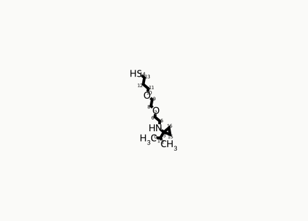 CC(C)C1(NCCOCCOCCCS)CC1